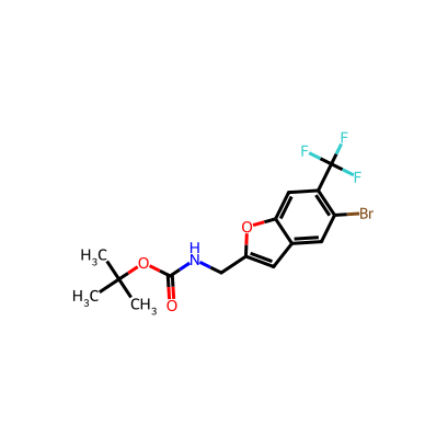 CC(C)(C)OC(=O)NCc1cc2cc(Br)c(C(F)(F)F)cc2o1